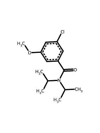 COc1cc(Cl)cc(C(=O)N(C(C)C)C(C)C)c1